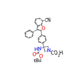 CC(C)(C)OC(=O)NC1(c2ccc(-c3oc4c(C#N)cccc4c3-c3ccccc3)cc2)CN(C(=O)O)C1